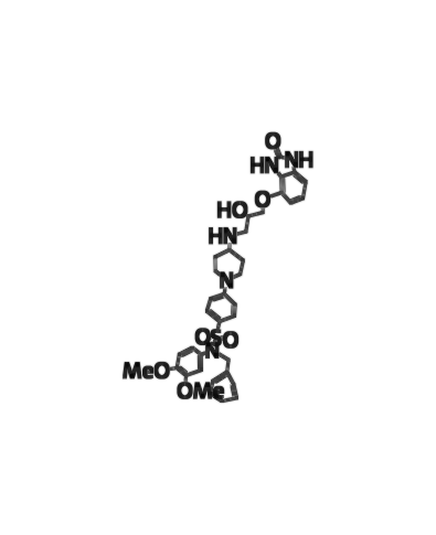 COc1ccc(N(Cc2ccccc2)S(=O)(=O)c2ccc(N3CCC(NCC(O)COc4cccc5[nH]c(=O)[nH]c45)CC3)cc2)cc1OC